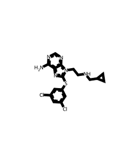 Nc1ncnc2c1nc(Sc1cc(Cl)cc(Cl)c1)n2CCNCC1CC1